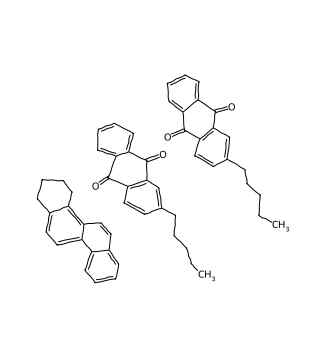 CCCCCc1ccc2c(c1)C(=O)c1ccccc1C2=O.CCCCCc1ccc2c(c1)C(=O)c1ccccc1C2=O.c1ccc2c(c1)ccc1c3c(ccc12)CCCC3